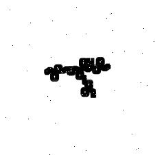 C=CC(=O)OCCOCC(OCCOC(=O)C=C)C(O)CCOC(=O)C=C